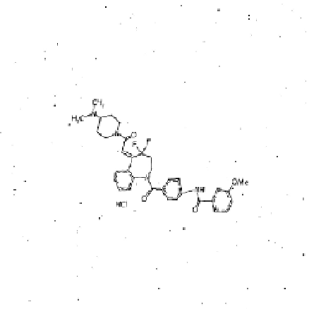 COc1cccc(C(=O)Nc2ccc(C(=O)N3CCC(F)(F)C(=CC(=O)N4CCC(N(C)C)CC4)c4ccccc43)cc2)c1.Cl